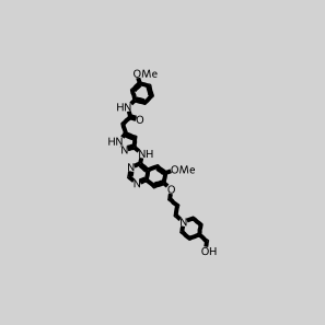 COc1cccc(NC(=O)Cc2cc(Nc3ncnc4cc(OCCCN5CCC(CO)CC5)c(OC)cc34)n[nH]2)c1